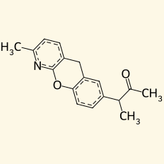 CC(=O)C(C)c1ccc2c(c1)Cc1ccc(C)nc1O2